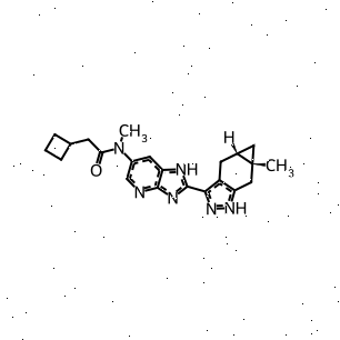 CN(C(=O)CC1CCC1)c1cnc2nc(-c3n[nH]c4c3C[C@@H]3C[C@]3(C)C4)[nH]c2c1